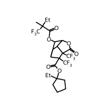 CCC1(OC(=O)C2(C(F)(F)F)C3CC4C(OC(=O)C42C(F)(F)F)C3OC(=O)C(C)(CC)C(F)(F)F)CCCC1